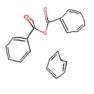 O=C(OC(=O)c1ccccc1)c1ccccc1.c1ccccc1